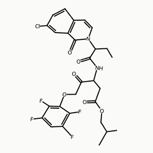 CCC(C(=O)NC(CC(=O)OCC(C)C)C(=O)COc1c(F)c(F)cc(F)c1F)n1ccc2ccc(Cl)cc2c1=O